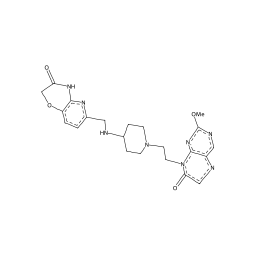 COc1ncc2ncc(=O)n(CCN3CCC(NCc4ccc5c(n4)NC(=O)CO5)CC3)c2n1